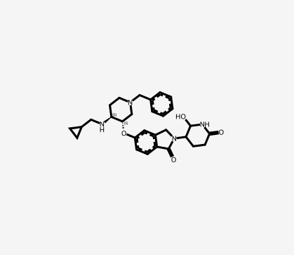 O=C1CCC(N2Cc3cc(O[C@H]4CN(Cc5ccccc5)CC[C@@H]4NCC4CC4)ccc3C2=O)C(O)N1